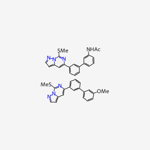 COc1cccc(-c2cccc(-c3cc4ccnn4c(SC)n3)c2)c1.CSc1nc(-c2cccc(-c3cccc(NC(C)=O)c3)c2)cc2ccnn12